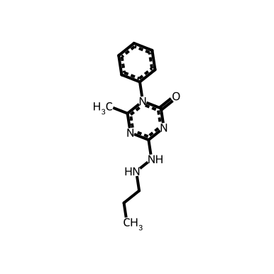 CCCNNc1nc(C)n(-c2ccccc2)c(=O)n1